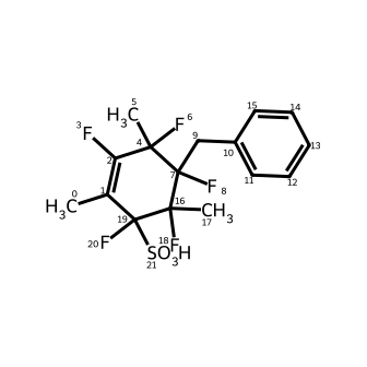 CC1=C(F)C(C)(F)C(F)(Cc2ccccc2)C(C)(F)C1(F)S(=O)(=O)O